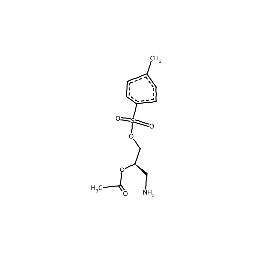 CC(=O)O[C@H](CN)COS(=O)(=O)c1ccc(C)cc1